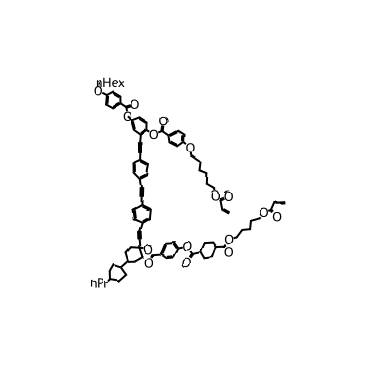 C=CC(=O)OCCCCCCOc1ccc(C(=O)Oc2ccc(OC(=O)c3ccc(OCCCCCC)cc3)cc2C#Cc2ccc(C#Cc3ccc(C#CC4(OC(=O)c5ccc(OC(=O)C6CCC(C(=O)OCCCCCOC(=O)C=C)CC6)cc5)CCC(C5CCC(CCC)CC5)CC4)cc3)cc2)cc1